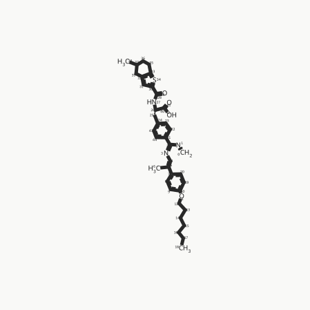 C=N/C(=N\C=C(/C)c1ccc(OCCCCCCC)cc1)c1ccc(C[C@H](NC(=O)c2cc3c(s2)CCC(C)C3)C(=O)O)cc1